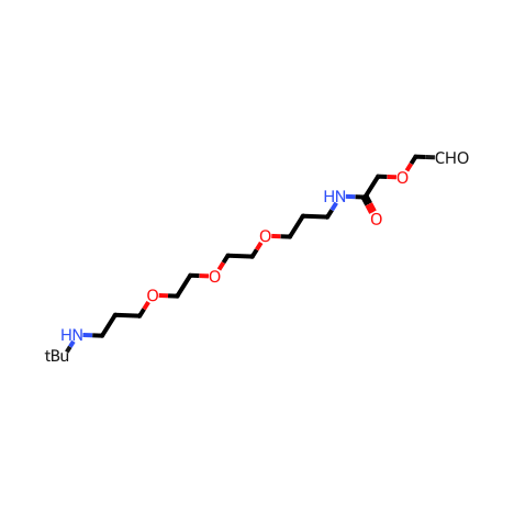 CC(C)(C)NCCCOCCOCCOCCCNC(=O)COCC=O